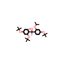 CC(C)Oc1cc(OC(C)(C)C)ccc1C(O)(I)c1ccc(OC(C)(C)C)cc1OC(C)(C)C